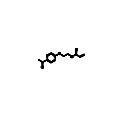 C=CC(=O)OCCOc1ccc(C(C)=O)cc1